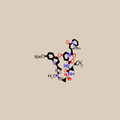 C=C[C@@H]1C[C@]1(NC(=O)[C@@H]1C[C@@H](Oc2cc(-c3csc(N(C)C)n3)nc3cc(OC)ccc23)CN1C(=O)[C@@H](CC(=O)N1CCCCC1)C(C)(C)C)C(=O)NS(=O)(=O)C1CC1